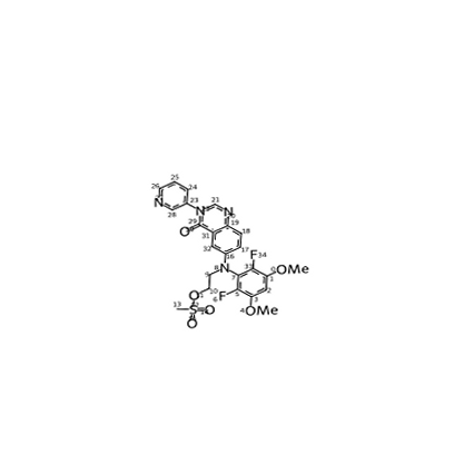 COc1cc(OC)c(F)c(N(CCOS(C)(=O)=O)c2ccc3ncn(-c4cccnc4)c(=O)c3c2)c1F